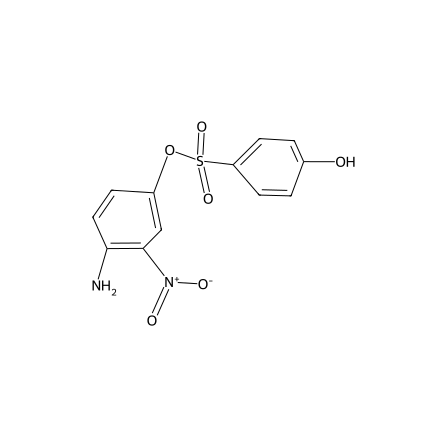 Nc1ccc(OS(=O)(=O)c2ccc(O)cc2)cc1[N+](=O)[O-]